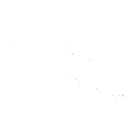 CNN1CCN(C(=O)C(c2ccc(F)cc2)N(C)C)CC1